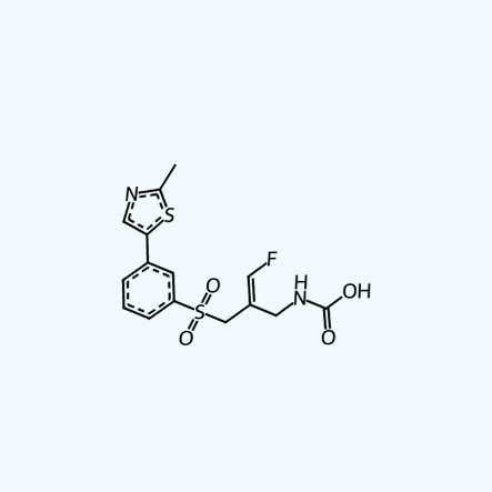 Cc1ncc(-c2cccc(S(=O)(=O)CC(=CF)CNC(=O)O)c2)s1